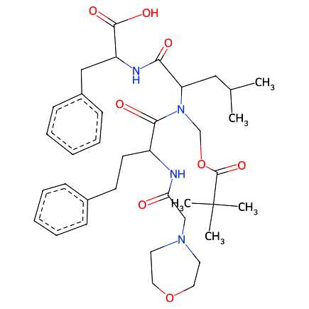 CC(C)CC(C(=O)NC(Cc1ccccc1)C(=O)O)N(COC(=O)C(C)(C)C)C(=O)C(CCc1ccccc1)NC(=O)CN1CCOCC1